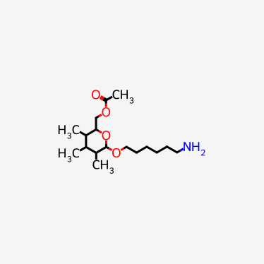 CC(=O)OCC1OC(OCCCCCCN)C(C)C(C)C1C